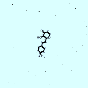 Cc1ccc(C=Cc2occc(=O)c2O)cc1